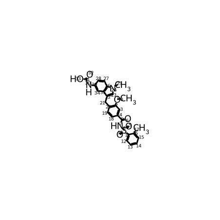 COc1cc(C(=O)NS(=O)(=O)c2ccccc2C)ccc1Cc1cn(C)c2ccc(NC(=O)O)cc12